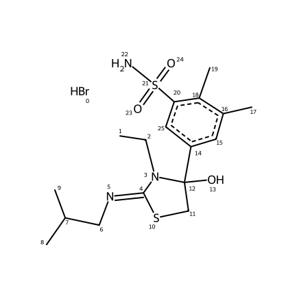 Br.CCN1C(=NCC(C)C)SCC1(O)c1cc(C)c(C)c(S(N)(=O)=O)c1